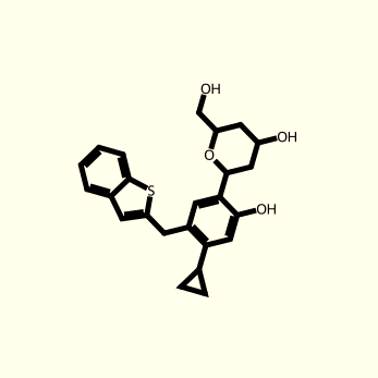 OCC1CC(O)CC(c2cc(Cc3cc4ccccc4s3)c(C3CC3)cc2O)O1